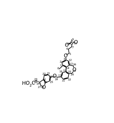 Cc1cc(OCCCS(C)(=O)=O)cc2c1-c1cc(COc3ccc4c(c3)OC[C@H]4CC(=O)O)ccc1COC2